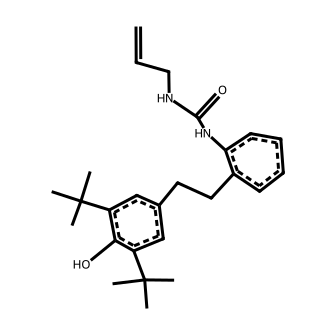 C=CCNC(=O)Nc1ccccc1CCc1cc(C(C)(C)C)c(O)c(C(C)(C)C)c1